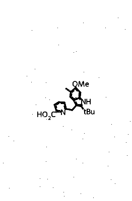 COc1cc2[nH]c(C(C)(C)C)c(Cc3cccc(C(=O)O)n3)c2cc1C